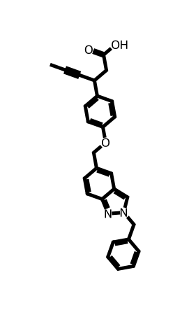 CC#CC(CC(=O)O)c1ccc(OCc2ccc3nn(Cc4ccccc4)cc3c2)cc1